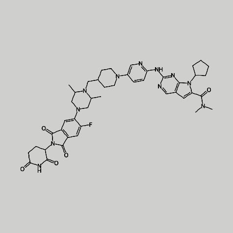 CC1CN(c2cc3c(cc2F)C(=O)N(C2CCC(=O)NC2=O)C3=O)CC(C)N1CC1CCN(c2ccc(Nc3ncc4cc(C(=O)N(C)C)n(C5CCCC5)c4n3)nc2)CC1